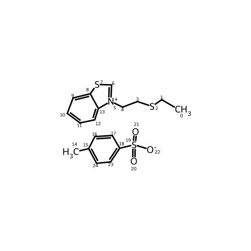 CCSCC[n+]1csc2ccccc21.Cc1ccc(S(=O)(=O)[O-])cc1